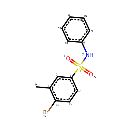 Cc1cc(S(=O)(=O)Nc2ccccc2)ccc1Br